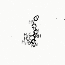 COc1cc(-c2[nH]c3cnc(N4CCC(NC5CCOCC5)CC4)cc3c2C(C)C)cn2ncnc12